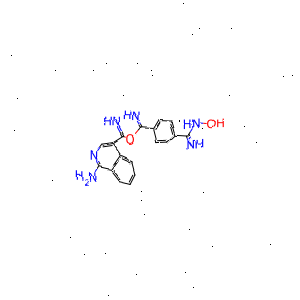 N=C(NO)c1ccc(C(=N)OC(=N)c2cnc(N)c3ccccc23)cc1